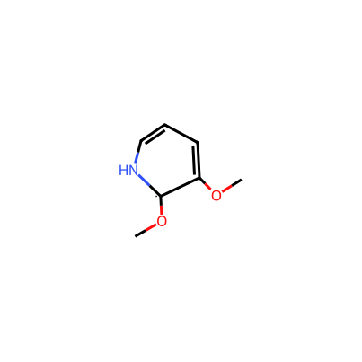 CO[C]1NC=CC=C1OC